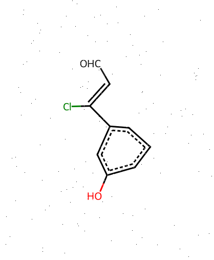 O=CC=C(Cl)c1cccc(O)c1